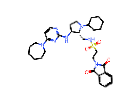 O=C1c2ccccc2C(=O)N1CCS(=O)(=O)NC[C@@H]1[C@@H](Nc2nccc(N3CCCCCC3)n2)CCN1C1CCCCC1